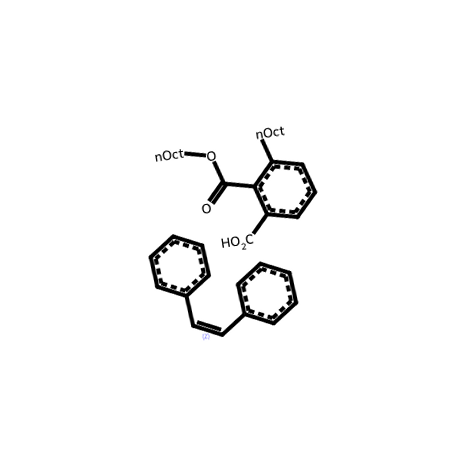 C(=C/c1ccccc1)/c1ccccc1.CCCCCCCCOC(=O)c1c(CCCCCCCC)cccc1C(=O)O